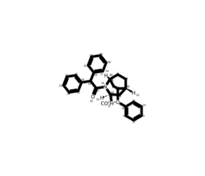 O=C(O)[C@@H]1C[C@H]2CC[C@H](CC2Oc2ccccc2)N1C(=O)C(c1ccccc1)c1ccccc1